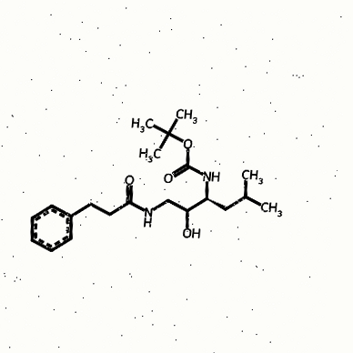 CC(C)C[C@H](NC(=O)OC(C)(C)C)C(O)CNC(=O)CCc1ccccc1